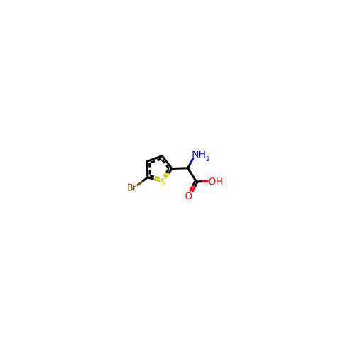 NC(C(=O)O)c1ccc(Br)s1